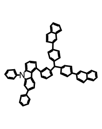 c1ccc(-c2ccc3c4c(-c5cccc(C(c6ccc(-c7ccc8ccccc8c7)cc6)c6ccc(-c7ccc8ccccc8c7)cc6)c5)cccc4n(-c4ccccc4)c3c2)cc1